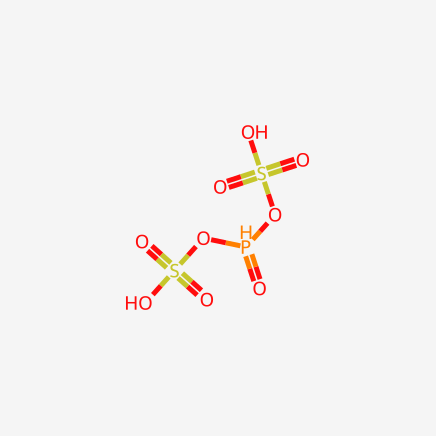 O=[PH](OS(=O)(=O)O)OS(=O)(=O)O